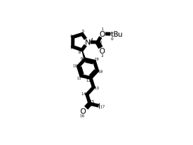 CC(C)(C)OC(=O)N1CCC[C@@H]1c1ccc(CCC(=O)I)cc1